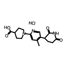 Cc1cc(N2CCC(C(=O)O)CC2)ncc1C1CCC(=O)NC1=O.Cl